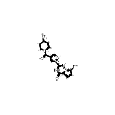 O=C(c1cnn(-c2nn3c(F)ccc3c(=O)[nH]2)c1)N1CCC(C(F)(F)F)CC1